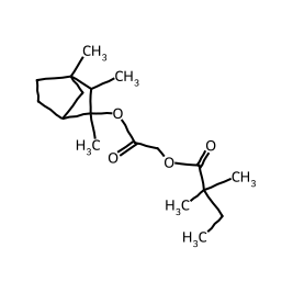 CCC(C)(C)C(=O)OCC(=O)OC1(C)C2CCC(C)(C2)C1C